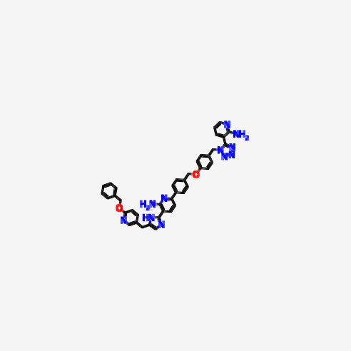 Nc1nc(-c2ccc(COc3ccc(Cn4nnnc4-c4cccnc4N)cc3)cc2)ccc1-c1ncc(Cc2ccc(OCc3ccccc3)nc2)[nH]1